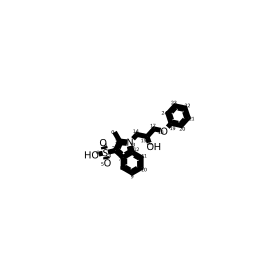 Cc1c(S(=O)(=O)O)c2ccccc2n1CC(O)COc1ccccc1